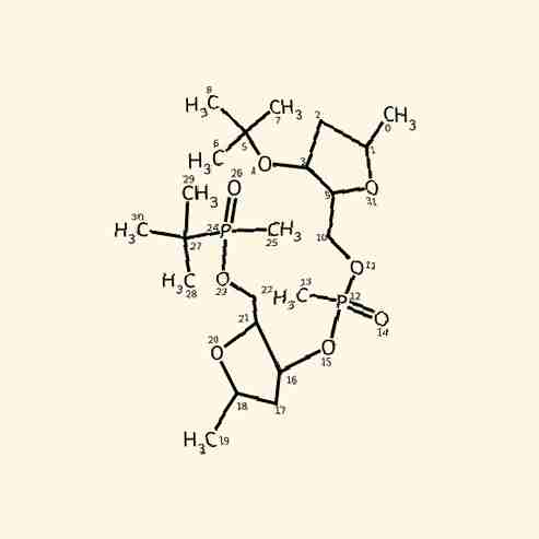 CC1CC(OC(C)(C)C)C(COP(C)(=O)OC2CC(C)OC2COP(C)(=O)C(C)(C)C)O1